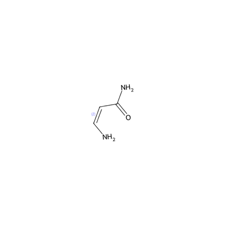 N/C=C\C(N)=O